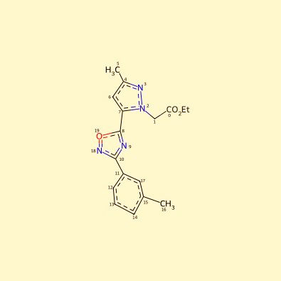 CCOC(=O)Cn1nc(C)cc1-c1nc(-c2cccc(C)c2)no1